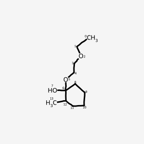 CCOCCOC1(O)CCCCC1C